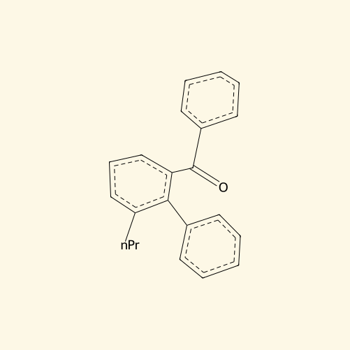 CCCc1cccc(C(=O)c2ccccc2)c1-c1ccccc1